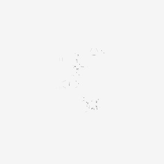 CC1(C)S[C@@H]2[C@H](NC(=O)C(NC(=O)OCOC(=O)[C@@H]3N4C(=O)C[C@H]4S(=O)(=O)C3(C)C)c3ccc(O)cc3)C(=O)N2[C@H]1C(=O)OCc1ccc([N+](=O)[O-])cc1